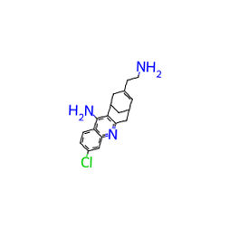 NCCC1=CC2Cc3nc4cc(Cl)ccc4c(N)c3C(C1)C2